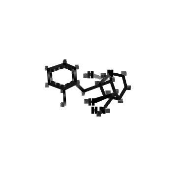 Cc1ccccc1C[C@@H]1[C@@H](N)C2CCN1CC2